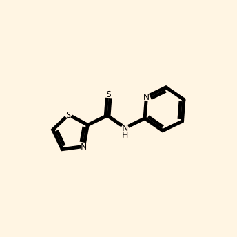 S=C(Nc1ccccn1)c1nccs1